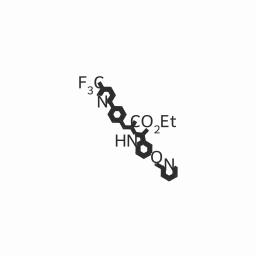 CCOC(=O)C(Cc1ccc(-c2ccc(C(F)(F)F)cn2)cc1)c1[nH]c2ccc(OCc3ccccn3)cc2c1C